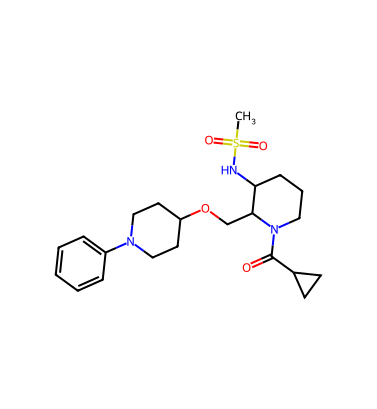 CS(=O)(=O)NC1CCCN(C(=O)C2CC2)C1COC1CCN(c2ccccc2)CC1